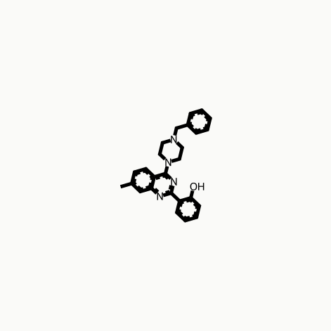 Cc1ccc2c(N3CCN(Cc4ccccc4)CC3)nc(-c3ccccc3O)nc2c1